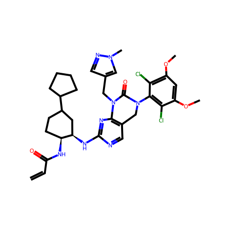 C=CC(=O)N[C@H]1CCC(C2CCCC2)C[C@H]1Nc1ncc2c(n1)N(Cc1cnn(C)c1)C(=O)N(c1c(Cl)c(OC)cc(OC)c1Cl)C2